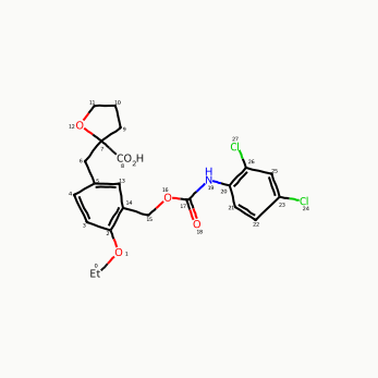 CCOc1ccc(CC2(C(=O)O)CCCO2)cc1COC(=O)Nc1ccc(Cl)cc1Cl